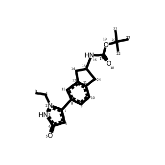 CCn1[nH]c(=O)cc1-c1ccc2c(c1)CC(NC(=O)OC(C)(C)C)C2